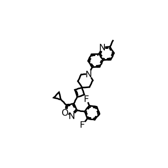 Cc1ccc2cc(N3CCC4(C=C(c5c(-c6c(F)cccc6F)noc5C5CC5)C4)CC3)ccc2n1